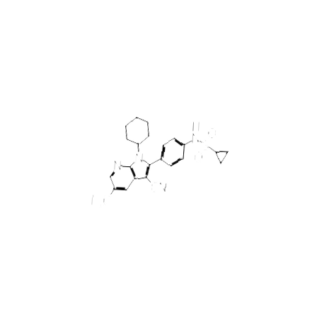 N#Cc1c(-c2ccc(NS(=O)(=O)C3CC3)cc2)n(C2CCCCC2)c2ncc(C(F)(F)F)cc12